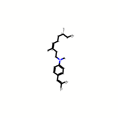 CC/C(=C/c1ccc(N(C)CC/C(C)=C\CC[C@H](C)CC(C)=O)cc1)C(C)=O